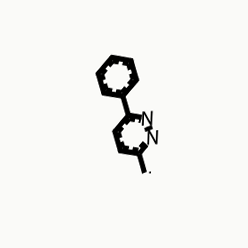 [CH2]c1ccc(-c2ccccc2)nn1